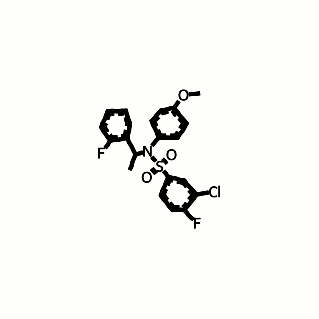 COc1ccc(N(C(C)c2ccccc2F)S(=O)(=O)c2ccc(F)c(Cl)c2)cc1